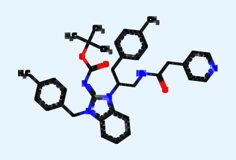 Cc1ccc(CC(CNC(=O)Cc2ccncc2)n2c(=NC(=O)OC(C)(C)C)n(Cc3ccc(C)cc3)c3ccccc32)cc1